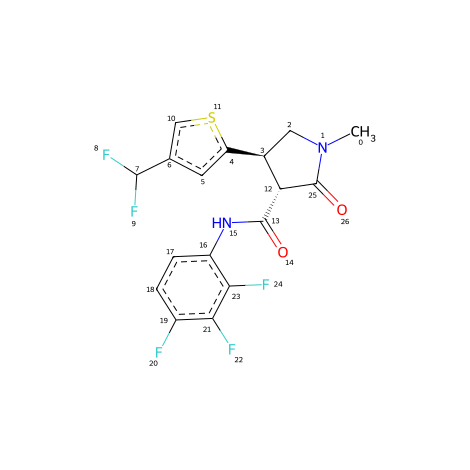 CN1C[C@H](c2cc(C(F)F)cs2)[C@@H](C(=O)Nc2ccc(F)c(F)c2F)C1=O